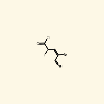 N=C/C(Br)=C\[C@@H](I)C(=O)Cl